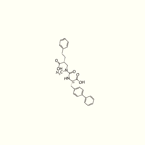 CN(CC(CCc1ccccc1)C(=O)O)C(=O)N[C@@H](Cc1ccc(-c2ccccc2)cc1)C(=O)O